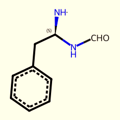 [NH][C@H](Cc1ccccc1)NC=O